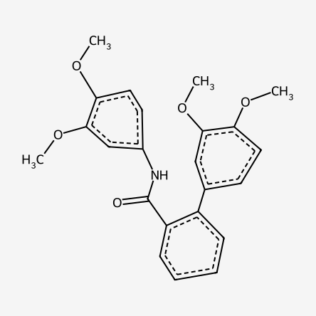 COc1ccc(NC(=O)c2ccccc2-c2ccc(OC)c(OC)c2)cc1OC